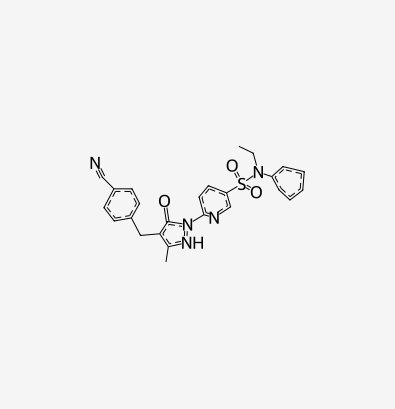 CCN(c1ccccc1)S(=O)(=O)c1ccc(-n2[nH]c(C)c(Cc3ccc(C#N)cc3)c2=O)nc1